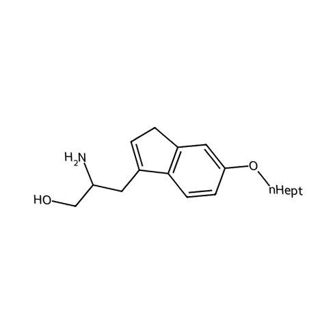 CCCCCCCOc1ccc2c(c1)CC=C2CC(N)CO